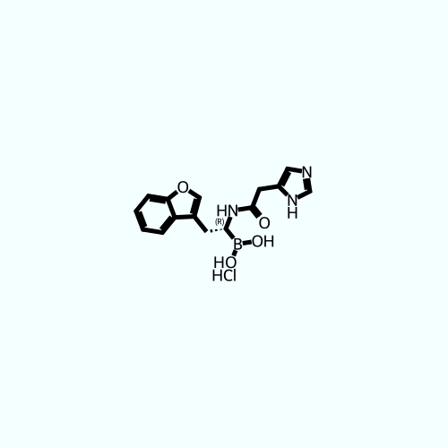 Cl.O=C(Cc1cnc[nH]1)N[C@@H](Cc1coc2ccccc12)B(O)O